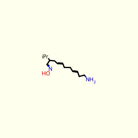 CC(C)C(C=NO)CC=CCCC=CCCN